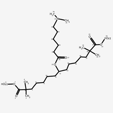 CCCCCCCCOC(=O)C(C)(C)CCCCCC(CCCCCC(C)(C)C(=O)OCCCCCCCC)OC(=O)CCCCCN(C)C